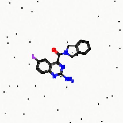 Nc1nc(C(=O)N2Cc3ccccc3C2)c2cc(I)ccc2n1